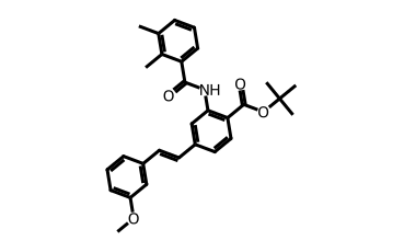 COc1cccc(/C=C/c2ccc(C(=O)OC(C)(C)C)c(NC(=O)c3cccc(C)c3C)c2)c1